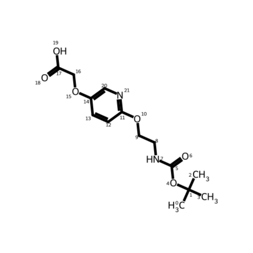 CC(C)(C)OC(=O)NCCOc1ccc(OCC(=O)O)cn1